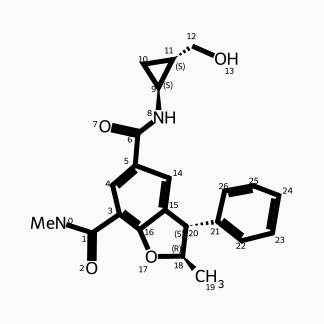 CNC(=O)c1cc(C(=O)N[C@H]2C[C@@H]2CO)cc2c1O[C@H](C)[C@H]2c1ccccc1